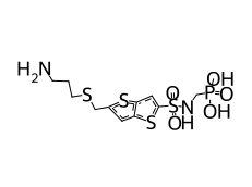 NCCCSCc1cc2sc(S(=O)(=O)NCP(=O)(O)O)cc2s1